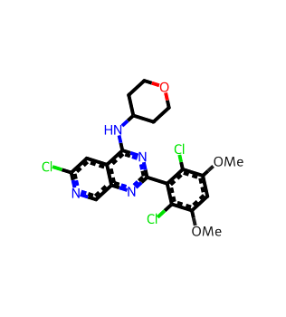 COc1cc(OC)c(Cl)c(-c2nc(NC3CCOCC3)c3cc(Cl)ncc3n2)c1Cl